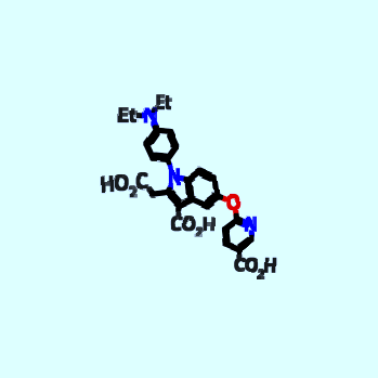 CCN(CC)c1ccc(-n2c(CC(=O)O)c(C(=O)O)c3cc(Oc4ccc(C(=O)O)cn4)ccc32)cc1